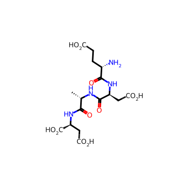 C[C@H](NC(=O)[C@H](CC(=O)O)NC(=O)[C@@H](N)CCC(=O)O)C(=O)N[C@@H](CC(=O)O)C(=O)O